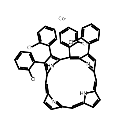 Clc1ccccc1C1=Cc2cc3ccc(cc4nc(cc5[nH]c(c(-c6ccccc6Cl)c1n2)c(-c1ccccc1Cl)c5-c1ccccc1Cl)C=C4)[nH]3.[Co]